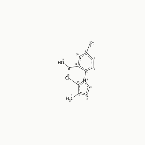 Cc1ncn(-c2ccc(C(C)C)cc2CO)c1Cl